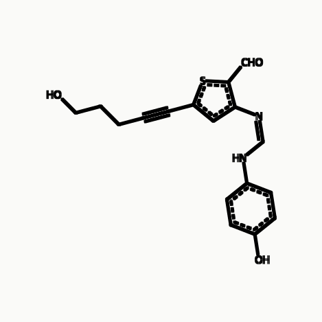 O=Cc1sc(C#CCCCO)cc1/N=C\Nc1ccc(O)cc1